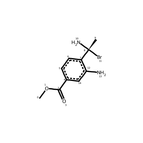 COC(=O)c1ccc([C@](C)(N)Br)c(N)c1